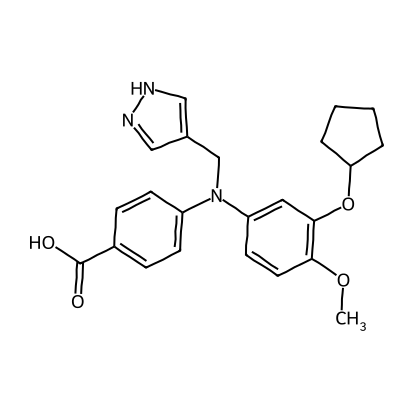 COc1ccc(N(Cc2cn[nH]c2)c2ccc(C(=O)O)cc2)cc1OC1CCCC1